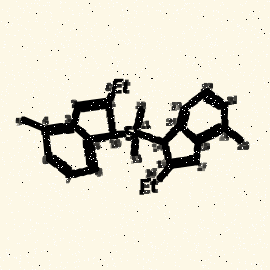 CCC1=Cc2c(C)cccc2C1[Si](C)(C)C1C(CC)=Cc2c(C)cccc21